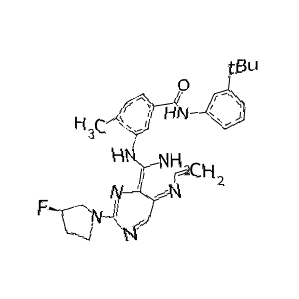 C=C/N=C1/C=NC(N2CC[C@@H](F)C2)=N/C1=C(/N)Nc1cc(C(=O)Nc2cccc(C(C)(C)C)c2)ccc1C